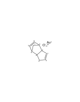 C1=CC2C3C=CC(C3)C2C1.[Au+].[Cl-]